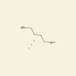 CCCCCCC[CH2][Sn+3].[I-].[I-].[I-]